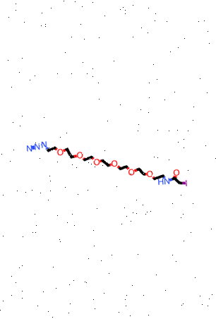 [N-]=[N+]=NCCOCCOCCOCCOCCOCCOCCNC(=O)CI